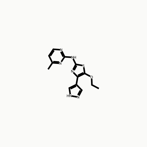 CCOc1sc(Nc2nccc(C)n2)nc1-c1cn[nH]c1